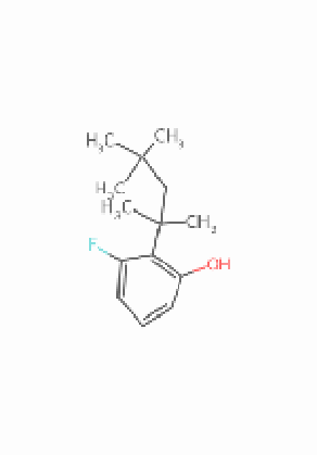 CC(C)(C)CC(C)(C)c1c(O)cccc1F